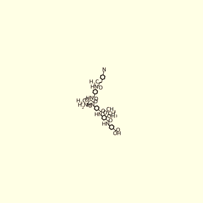 COC(C(N)=O)C(NC(=O)c1ccc(NC(=O)/C(C)=C/c2ccc(C#N)cc2)cc1)C(=O)Nc1ccc(C(=O)Nc2ccc(C(=O)Nc3ccc(C(=O)O)cc3)c(O)c2OC(C)C)cc1